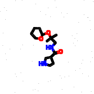 CC(C)(CNC(=O)C1CCNC1)OC1CCCCO1